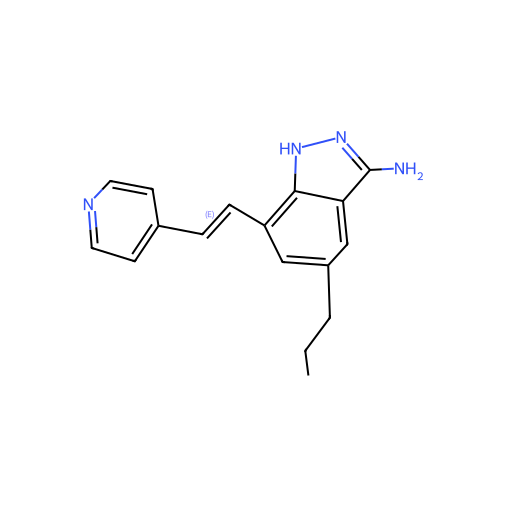 CCCc1cc(/C=C/c2ccncc2)c2[nH]nc(N)c2c1